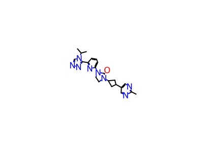 Cc1ncc(C2CC(N3CCN(c4cccc(-c5nncn5C(C)C)n4)C3=O)C2)cn1